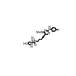 CNc1nc(Nc2ccc(F)cc2)ncc1C#CCCCNC(=O)[C@]1(C)C[C@H](O)CN1